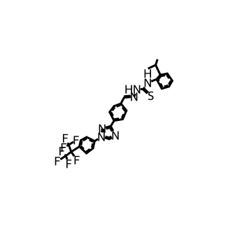 CC(C)c1ccccc1NC(=S)N/N=C/c1ccc(-c2ncn(-c3ccc(C(F)(C(F)(F)F)C(F)(F)F)cc3)n2)cc1